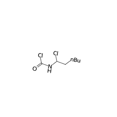 CCCCCC(Cl)NC(=O)Cl